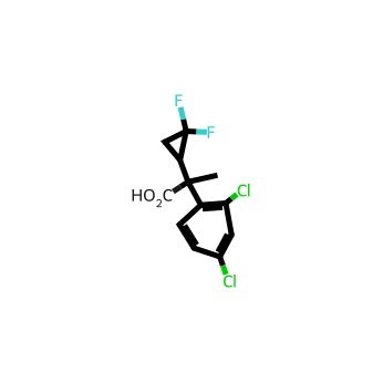 CC(C(=O)O)(c1ccc(Cl)cc1Cl)C1CC1(F)F